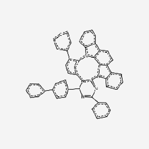 c1ccc(C2=NC(c3ccc(-c4ccccc4)cc3)n3c(n4c5ccccc5c5ccc6c7ccccc7n(c7cc3ccc7-c3ccccc3)c6c54)=N2)cc1